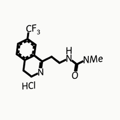 CNC(=O)NCCC1=NCCc2ccc(C(F)(F)F)cc21.Cl